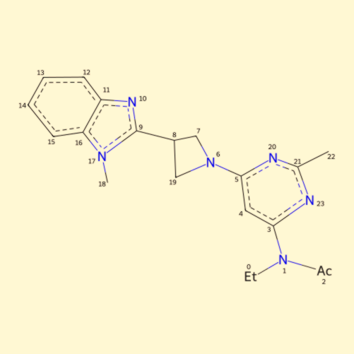 CCN(C(C)=O)c1cc(N2CC(c3nc4ccccc4n3C)C2)nc(C)n1